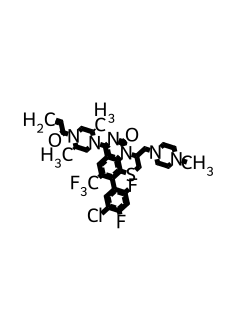 C=CC(=O)N1C[C@H](C)N(c2nc(=O)n3c4c(c(-c5cc(Cl)c(F)cc5F)c(C(F)(F)F)cc24)SCC3CN2CCN(C)CC2)C[C@H]1C